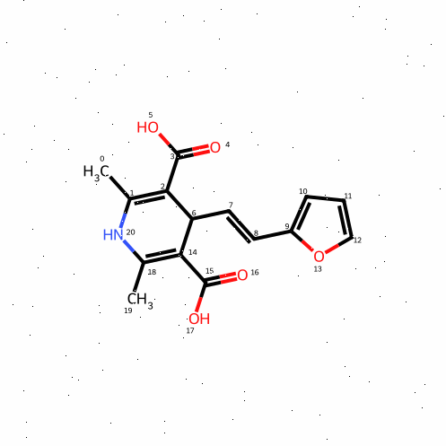 CC1=C(C(=O)O)C(C=Cc2ccco2)C(C(=O)O)=C(C)N1